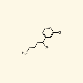 CCCCC(O)c1cccc(Cl)c1